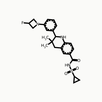 CC1(C)Cc2cc(C(=O)NS(=O)(=O)C3CC3)ccc2NC1c1cccc(N2CC(F)C2)c1